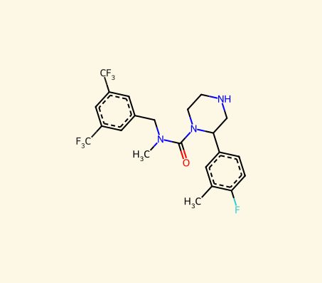 Cc1cc(C2CNCCN2C(=O)N(C)Cc2cc(C(F)(F)F)cc(C(F)(F)F)c2)ccc1F